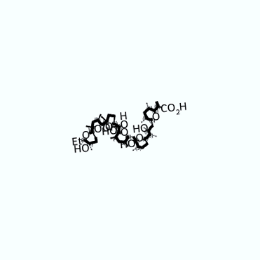 CC[C@@H]1O[C@@H]([C@]2(C)C[C@@H](C)[C@](O)([C@]3(C)CC[C@@H]([C@@H](O)[C@]4(O)O[C@H](C[C@@]5(O)O[C@@H]([C@@H](C)[C@H](O)C[C@@H]6O[C@H]([C@@H](C)C(=O)O)[C@@H](C)C[C@H]6C)CC[C@@H]5C)[C@@H](C)C[C@H]4C)O3)O2)CC[C@@]1(C)O